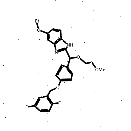 CCOc1ccc2[nH]c(C(OCCOC)c3ccc(OCc4cc(F)ccc4F)cc3)nc2c1